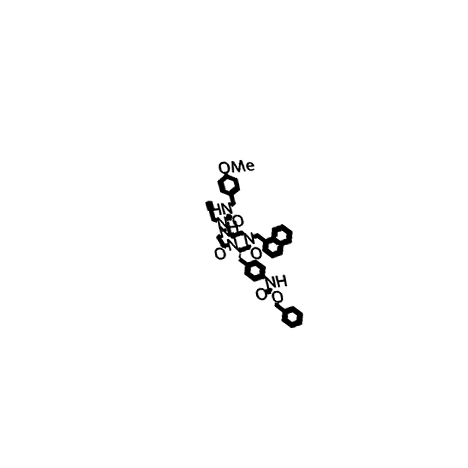 C#CCN(C(=O)NCC1=CCC(OC)C=C1)N1CC(=O)N2[C@@H](Cc3ccc(NC(=O)OCc4ccccc4)cc3)C(=O)N(Cc3cccc4ccccc34)C[C@@H]21